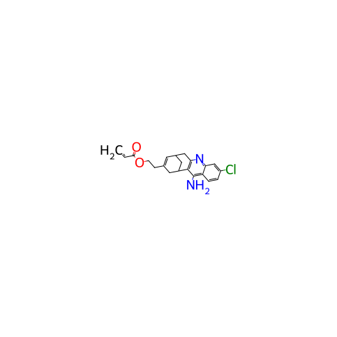 C=CC(=O)OCCC1=CC2Cc3nc4cc(Cl)ccc4c(N)c3C(C1)C2